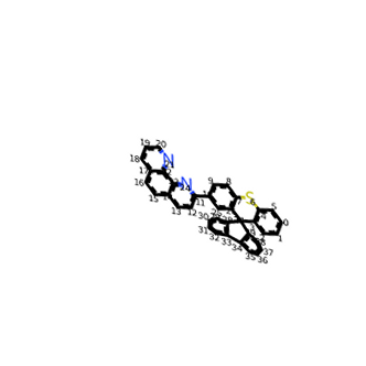 c1ccc2c(c1)Sc1ccc(-c3ccc4ccc5cccnc5c4n3)cc1C21c2ccccc2-c2ccccc21